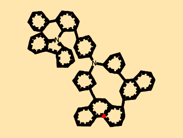 c1ccc(-c2cc(-c3cccc(N(c4ccc(-c5cccc(-c6ccccc6)c5-n5c6ccccc6c6ccccc65)cc4)c4cccc(-c5cccc6ccccc56)c4)c3)c3ccccc3c2)cc1